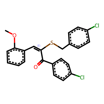 COc1ccccc1/C=C(/SCc1ccc(Cl)cc1)C(=O)c1ccc(Cl)cc1